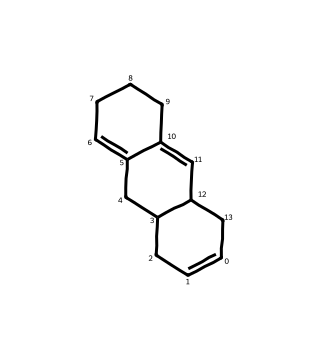 C1=CCC2CC3=CCCCC3=CC2C1